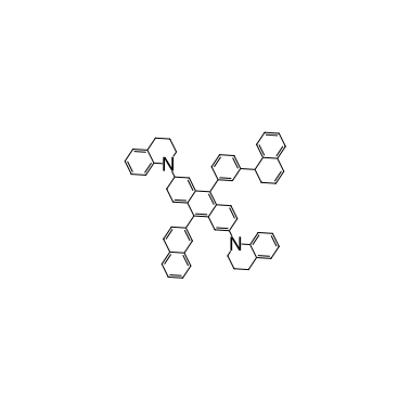 C1=Cc2ccccc2C(c2cccc(-c3c4c(c(-c5ccc6ccccc6c5)c5cc(N6CCCc7ccccc76)ccc35)=CCC(N3CCCc5ccccc53)C=4)c2)C1